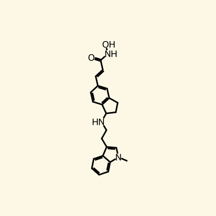 Cn1cc(CCNC2CCc3cc(C=CC(=O)NO)ccc32)c2ccccc21